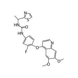 COc1cc2nccc(Oc3ccc(NC(=O)NC(C)c4nccs4)cc3F)c2cc1OC